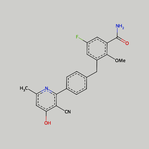 COc1c(Cc2ccc(-c3nc(C)cc(O)c3C#N)cc2)cc(F)cc1C(N)=O